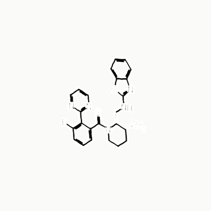 C[C@@H]1CCCN(C(=O)c2cccc(F)c2-c2ncccn2)[C@@H]1CNc1nc2ccccc2o1